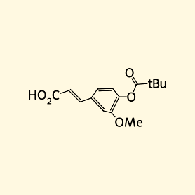 COc1cc(C=CC(=O)O)ccc1OC(=O)C(C)(C)C